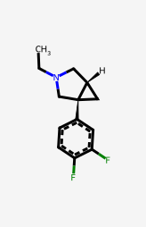 CCN1C[C@@H]2C[C@]2(c2ccc(F)c(F)c2)C1